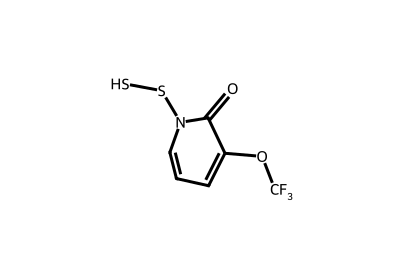 O=c1c(OC(F)(F)F)cccn1SS